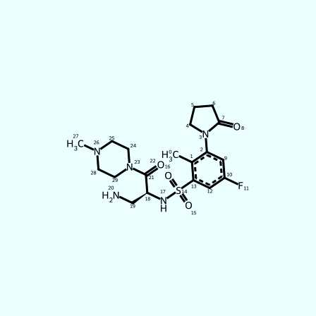 Cc1c(N2CCCC2=O)cc(F)cc1S(=O)(=O)N[C@@H](CN)C(=O)N1CCN(C)CC1